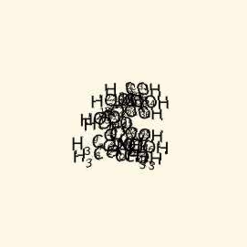 CC(=O)NC1[C@H](OC(C)C)OC(CO)[C@@H](O[C@@H]2OC(CO)[C@H](O)C(O)C2O[C@@H]2O[C@@H](C)[C@@H](O)C(O)C2O)[C@@H]1O[C@@H]1OC(C)[C@@H](O)[C@H](O)C1O